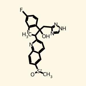 CC(c1ccc2cc([S+](C)[O-])ccc2n1)C(O)(Cc1nc[nH]n1)c1ccc(F)cc1F